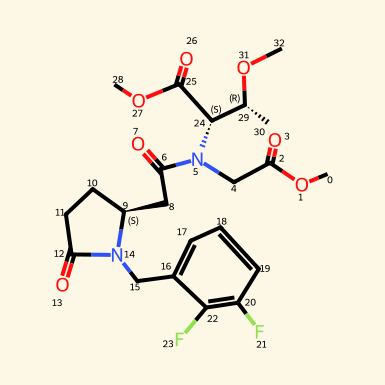 COC(=O)CN(C(=O)C[C@@H]1CCC(=O)N1Cc1cccc(F)c1F)[C@H](C(=O)OC)[C@@H](C)OC